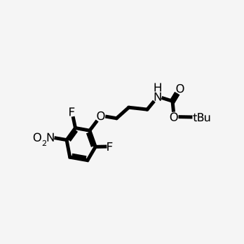 CC(C)(C)OC(=O)NCCCOc1c(F)ccc([N+](=O)[O-])c1F